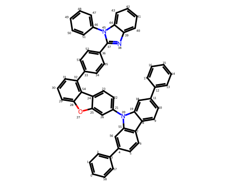 c1ccc(-c2ccc3c4ccc(-c5ccccc5)cc4n(-c4ccc5c(c4)oc4cccc(-c6ccc(-c7nc8ccccc8n7-c7ccccc7)cc6)c45)c3c2)cc1